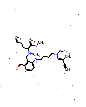 C#C/C(C)=C/N(CC)CCCCNc1cccc(C=O)c1CN(C)C(CCC=C)C(=C)NC